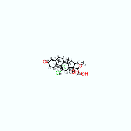 CC1C[C@H]2[C@@H]3CCC4=CC(=O)CC[C@]4(C)[C@@]3(Cl)C(Cl)C[C@]2(C)[C@@]1(O)C(=O)CO